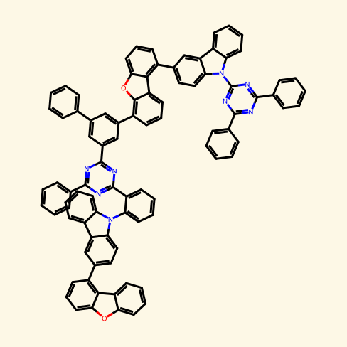 c1ccc(-c2cc(-c3nc(-c4ccccc4)nc(-c4ccccc4-n4c5ccccc5c5cc(-c6cccc7oc8ccccc8c67)ccc54)n3)cc(-c3cccc4c3oc3cccc(-c5ccc6c(c5)c5ccccc5n6-c5nc(-c6ccccc6)nc(-c6ccccc6)n5)c34)c2)cc1